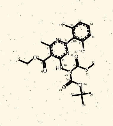 CCOC(=O)c1c(C)nc(-c2c(F)cccc2F)nc1NN(C(=O)OC(C)(C)C)C(=O)SC